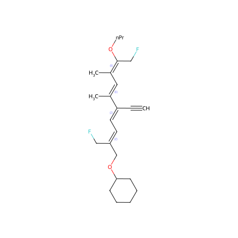 C#CC(=C\C=C(/CF)COC1CCCCC1)/C(C)=C/C(C)=C(\CF)OCCC